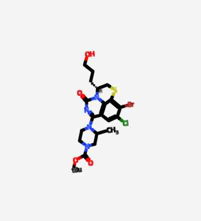 CC1CN(C(=O)OC(C)(C)C)CCN1c1nc(=O)n2c3c(c(Br)c(Cl)cc13)SC[C@H]2CCCO